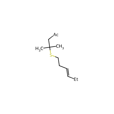 CCC=CCCSC(C)(C)CC(C)=O